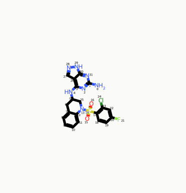 Nc1nc(NC2Cc3ccccc3N(S(=O)(=O)c3ccc(F)cc3Cl)C2)c2cn[nH]c2n1